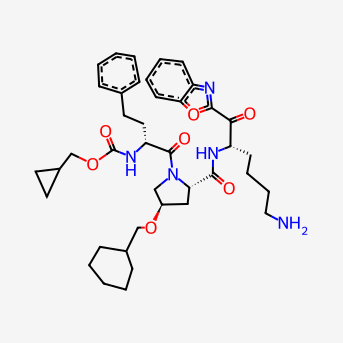 NCCCC[C@H](NC(=O)[C@@H]1C[C@@H](OCC2CCCCC2)CN1C(=O)[C@@H](CCc1ccccc1)NC(=O)OCC1CC1)C(=O)c1nc2ccccc2o1